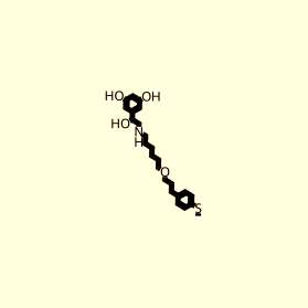 CSc1ccc(CCCOCCCCCCNCC(O)c2cc(O)cc(O)c2)cc1